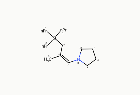 CCC[Si](CCC)(CCC)CC(C)=CN1CCCC1